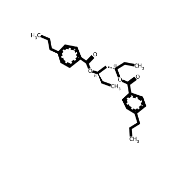 CCCc1ccc(C(=O)O[C@H](CC)C[C@H](CC)OC(=O)c2ccc(CCC)cc2)cc1